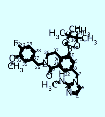 CNc1nccn1Cc1cc(B2OC(C)(C)C(C)(C)O2)c2c(c1)C(=O)N(Cc1ccc(F)c(OC)c1)CC2